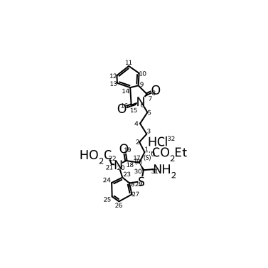 CCOC(=O)[C@@H](CCCCN1C(=O)c2ccccc2C1=O)[C@@H]1C(=O)N(CC(=O)O)c2ccccc2SC1N.Cl